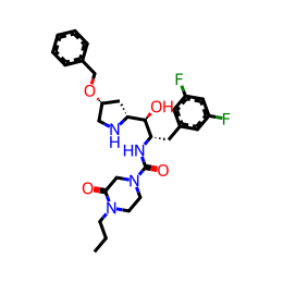 CCCN1CCN(C(=O)N[C@@H](Cc2cc(F)cc(F)c2)[C@H](O)[C@H]2C[C@@H](OCc3ccccc3)CN2)CC1=O